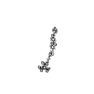 O=C(C=Cc1ccc(OC(=O)c2ccc(OCCCC(F)(F)F)cc2)cc1)OCCCCCCOC(=O)c1cc([N+](=O)[O-])cc([N+](=O)[O-])c1